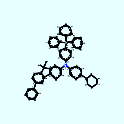 CC1(C)c2ccc(-c3ccccc3)cc2-c2ccc(N(c3ccc(C4CCCCC4)cc3)c3ccc([Si](c4ccccc4)(c4ccccc4)c4ccccc4)cc3)cc21